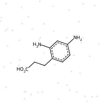 Nc1ccc(CCC(=O)O)c(N)c1